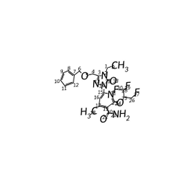 CCn1c(COCc2ccccc2)nn(-c2cc(C)c(C(N)=O)c(OC(CF)C(F)F)n2)c1=O